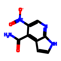 NC(=O)c1c([N+](=O)[O-])cnc2[nH]ccc12